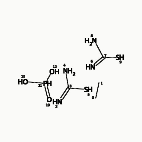 CC.N=C(N)S.N=C(N)S.O=[PH](O)O